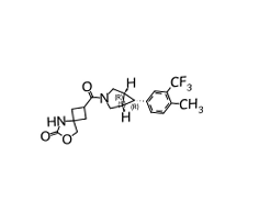 Cc1ccc([C@@H]2[C@@H]3CN(C(=O)C4CC5(COC(=O)N5)C4)C[C@@H]32)cc1C(F)(F)F